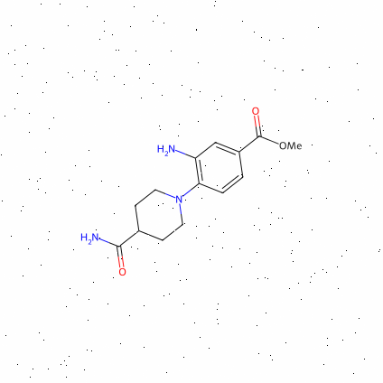 COC(=O)c1ccc(N2CCC(C(N)=O)CC2)c(N)c1